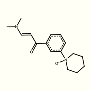 CN(C)C=CC(=O)c1cccc([N+]2([O-])CCCCC2)c1